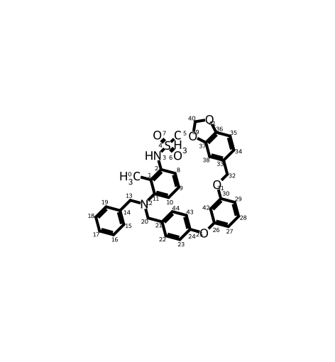 Cc1c(NS(C)(=O)=O)cccc1N(Cc1ccccc1)Cc1ccc(Oc2cccc(OCc3ccc4c(c3)OCO4)c2)cc1